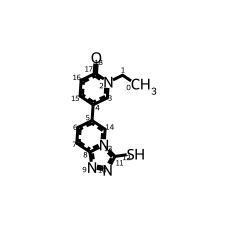 CCn1cc(-c2ccc3nnc(S)n3c2)ccc1=O